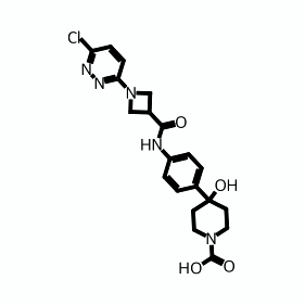 O=C(Nc1ccc(C2(O)CCN(C(=O)O)CC2)cc1)C1CN(c2ccc(Cl)nn2)C1